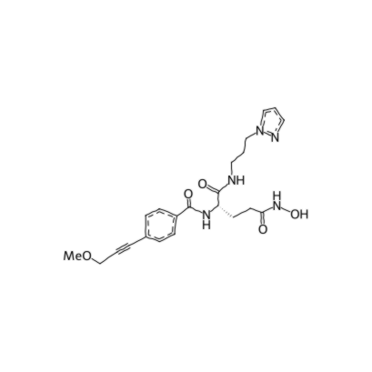 COCC#Cc1ccc(C(=O)N[C@@H](CCC(=O)NO)C(=O)NCCCn2cccn2)cc1